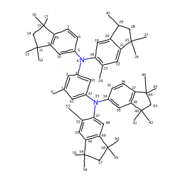 Cc1cc(N(c2ccc3c(c2)C(C)(C)CC3(C)C)c2cc3c(cc2C)C(C)(C)CC3C)cc(N(c2ccc3c(c2)C(C)(C)CC3(C)C)c2cc3c(cc2C)C(C)(C)CC3(C)C)c1